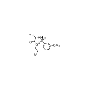 COc1cccc(S(=O)(=O)NC(C(=O)OCCBr)C(C)(C)C)c1